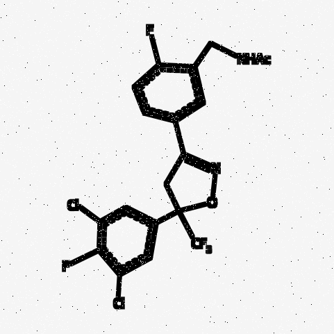 CC(=O)NCc1cc(C2=NOC(c3cc(Cl)c(F)c(Cl)c3)(C(F)(F)F)C2)ccc1F